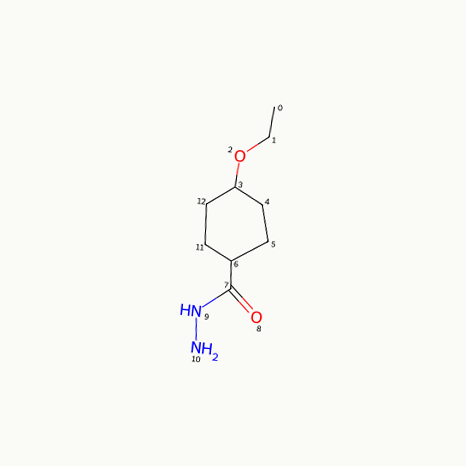 CCOC1CCC(C(=O)NN)CC1